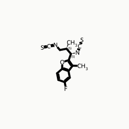 Cc1c([C@@H](N=C=S)[C@@H](C)CN=C=S)oc2ccc(F)cc12